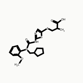 COc1ccccc1N(CC1CCCC1)C(=O)Nc1ncc(SCC(C)C(=O)O)s1